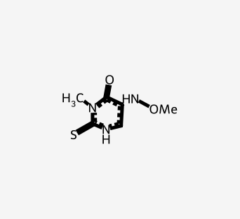 CONc1c[nH]c(=S)n(C)c1=O